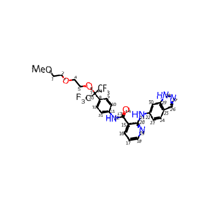 COCCOCCOC(c1ccc(NC(=O)c2cccnc2Nc2ccc3cn[nH]c3c2)cc1)(C(F)(F)F)C(F)(F)F